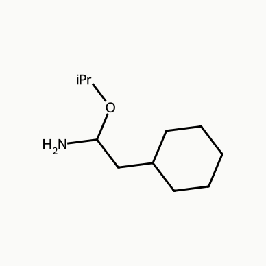 CC(C)OC(N)CC1CCCCC1